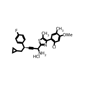 COc1cc(Cl)c(-c2nc(C(N)C#C[C@@H](CC3CC3)c3ccc(F)cc3)sc2C)cc1C.Cl